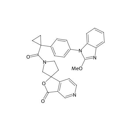 COc1nc2ccccc2n1-c1ccc(C2(C(=O)N3CCC4(C3)OC(=O)c3cnccc34)CC2)cc1